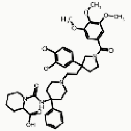 COc1cc(C(=O)N2CCC(CCN3CCC(NC(=O)N4CCCCC4C(=O)O)(c4ccccc4)CC3)(c3ccc(Cl)c(Cl)c3)C2)cc(OC)c1OC